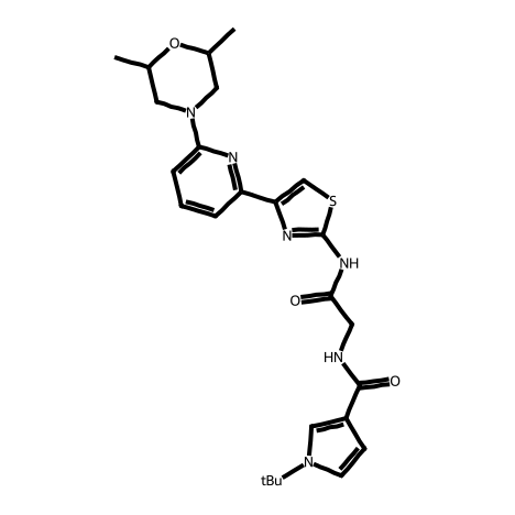 CC1CN(c2cccc(-c3csc(NC(=O)CNC(=O)c4ccn(C(C)(C)C)c4)n3)n2)CC(C)O1